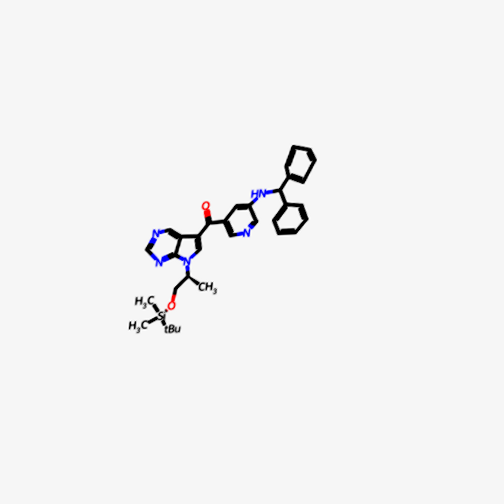 C[C@@H](CO[Si](C)(C)C(C)(C)C)n1cc(C(=O)c2cncc(NC(c3ccccc3)c3ccccc3)c2)c2cncnc21